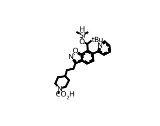 C[SiH](C)OC(c1c(-c2ccccn2)ccc2c(CCC3CCN(C(=O)O)CC3)noc12)C(C)(C)C